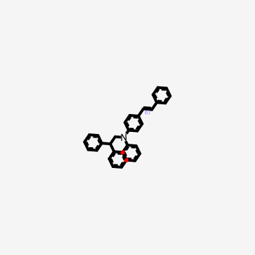 C(=C\c1ccc(N(CC(c2ccccc2)c2ccccc2)c2ccccc2)cc1)/c1ccccc1